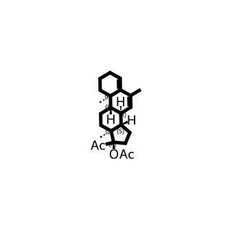 CC(=O)O[C@]1(C(C)=O)CC[C@H]2[C@@H]3C=C(C)C4=CCCC[C@]4(C)[C@H]3CC[C@@]21C